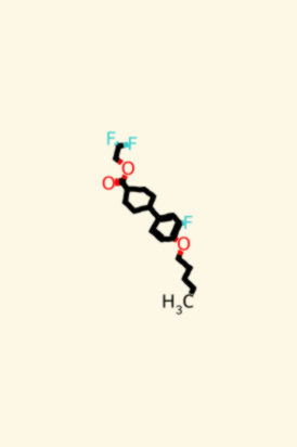 CCCCCOc1ccc(C2CCC(C(=O)OCC(F)F)CC2)cc1F